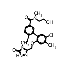 Cc1cc(OCc2n[nH]c(=O)n2C)c(-c2cc(C(=O)N(C)CCO)ccc2F)cc1Cl